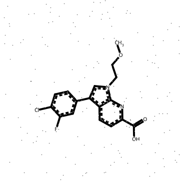 COCCn1cc(-c2ccc(Cl)c(F)c2)c2ccc(C(=O)O)nc21